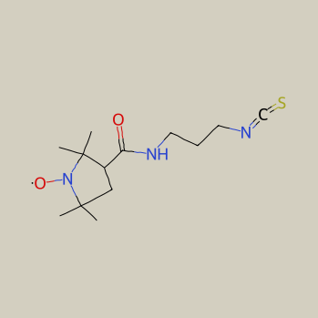 CC1(C)CC(C(=O)NCCCN=C=S)C(C)(C)N1[O]